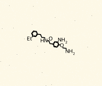 CCc1cccc(CCCNC(=O)Cc2ccc(OCCN)c(N)c2)c1